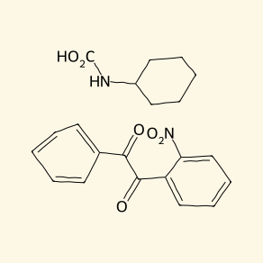 O=C(C(=O)c1ccccc1[N+](=O)[O-])c1ccccc1.O=C(O)NC1CCCCC1